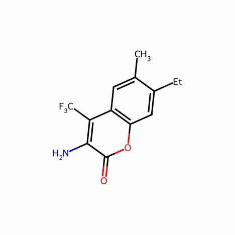 CCc1cc2oc(=O)c(N)c(C(F)(F)F)c2cc1C